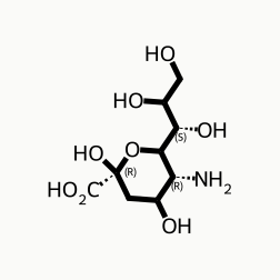 N[C@@H]1C(O)C[C@](O)(C(=O)O)OC1[C@@H](O)C(O)CO